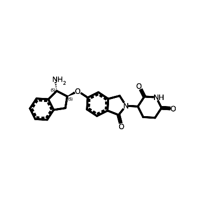 N[C@H]1c2ccccc2C[C@@H]1Oc1ccc2c(c1)CN(C1CCC(=O)NC1=O)C2=O